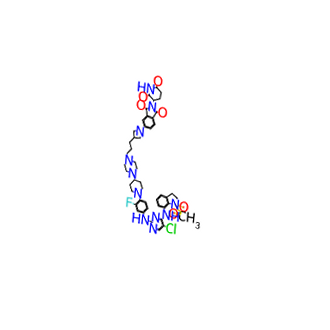 CS(=O)(=O)N1CCc2cccc(Nc3nc(Nc4ccc(N5CCC(N6CCN(CCCC7CN(c8ccc9c(c8)C(=O)N(C8CCC(=O)NC8=O)C9=O)C7)CC6)CC5)c(F)c4)ncc3Cl)c21